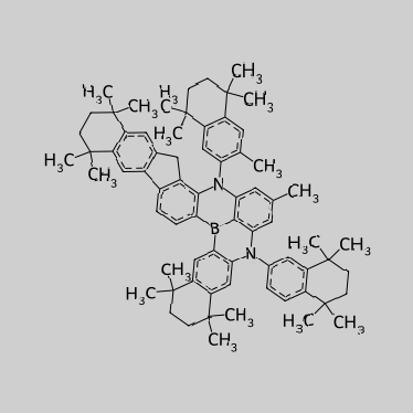 Cc1cc2c3c(c1)N(c1cc4c(cc1C)C(C)(C)CCC4(C)C)c1c(ccc4c1Cc1cc5c(cc1-4)C(C)(C)CCC5(C)C)B3c1cc3c(cc1N2c1ccc2c(c1)C(C)(C)CCC2(C)C)C(C)(C)CCC3(C)C